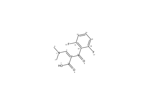 CN(C)/C=C(\C(=O)O)C(=O)c1c(F)cccc1F